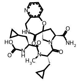 CN(C(=O)[C@H](CC1CC1)NC(=O)O)[C@@H](CC1CC1)C(=O)N1C[C@@]2(C[C@H]1C(N)=O)Oc1cccnc1CNC2=O